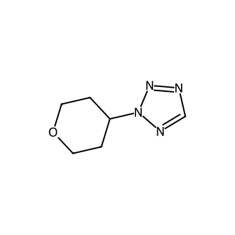 c1nnn(C2CCOCC2)n1